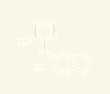 Cl.Nc1cccnc1Nc1ccc2c(c1)OCO2